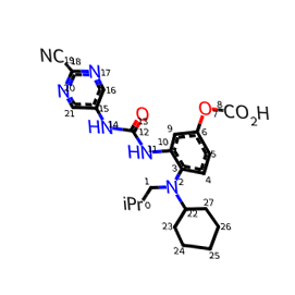 CC(C)CN(c1ccc(OC(=O)O)cc1NC(=O)Nc1cnc(C#N)nc1)C1CCCCC1